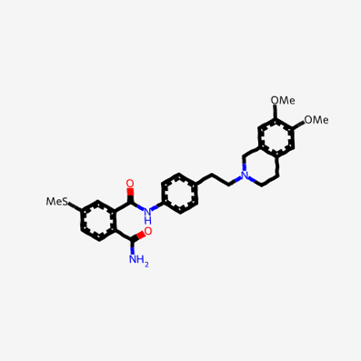 COc1cc2c(cc1OC)CN(CCc1ccc(NC(=O)c3cc(SC)ccc3C(N)=O)cc1)CC2